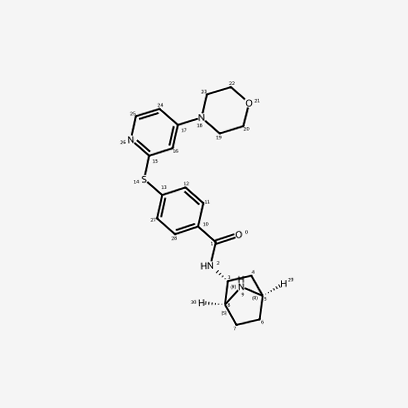 O=C(N[C@@H]1C[C@H]2CC[C@@H]1N2)c1ccc(Sc2cc(N3CCOCC3)ccn2)cc1